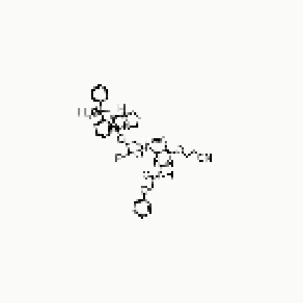 CC[C@H]1O[C@@H](n2cnc3c(OCCC#N)nc(NC(=O)COc4ccccc4)nc32)CC1O[P@@]1O[C@H](C[Si](C)(c2ccccc2)c2ccccc2)[C@@H]2CCCN21